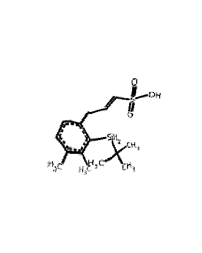 Cc1ccc(CC=CS(=O)(=O)O)c([SiH2]C(C)(C)C)c1C